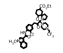 CCOC(=O)C1CCC(OC(C(=O)Cc2ccc(NC(=O)c3cn(C)c4ccccc34)c(Cl)c2)(N2CCCC2)N2CCN(CC(F)(F)F)CC2)CC1